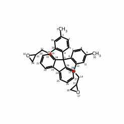 Cc1ccc(C2(c3ccc(C)cc3OCC3CO3)c3ccccc3-c3ccccc32)c(OCC2CO2)c1